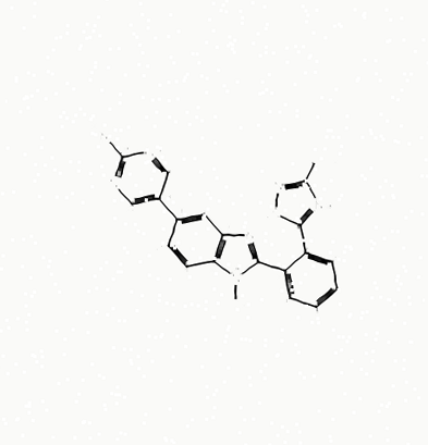 Cc1nsc(-c2ccccc2-c2nc3cc(-c4cnc(N)nc4)ccc3n2C(C)(C)C)n1